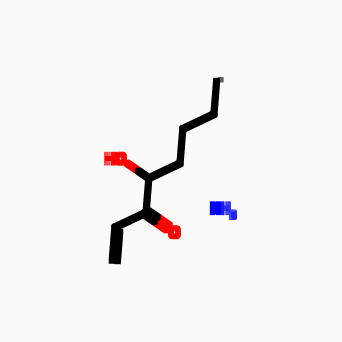 N.[CH2]CCCC(O)C(=O)C=C